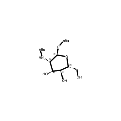 CCCCN[C@@H]1[C@@H](OCCCC)O[C@H](CO)[C@@H](O)[C@@H]1O